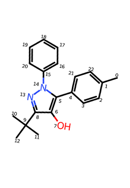 Cc1ccc(-c2c(O)c(C(C)(C)C)nn2-c2ccccc2)cc1